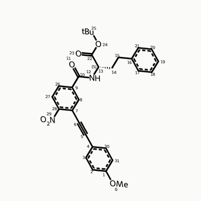 COc1ccc(C#Cc2cc(C(=O)N[C@@H](CCc3ccccc3)C(=O)OC(C)(C)C)ccc2[N+](=O)[O-])cc1